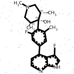 Cc1cc(-c2ccnc3[nH]cc(F)c23)cc(F)c1[C@@]1(O)[C@H](C)CN(C)C[C@@H]1C